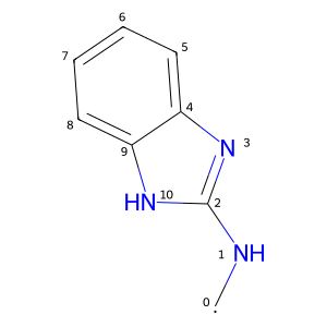 [CH2]Nc1nc2ccccc2[nH]1